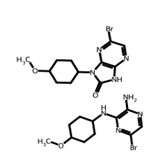 COC1CCC(Nc2nc(Br)cnc2N)CC1.COC1CCC(n2c(=O)[nH]c3ncc(Br)nc32)CC1